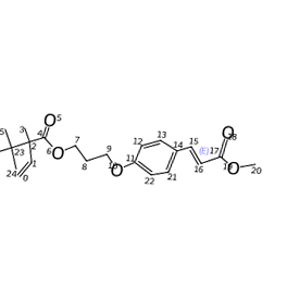 C=CC(C)(C(=O)OCCCOc1ccc(/C=C/C(=O)OC)cc1)C(C)(C)C